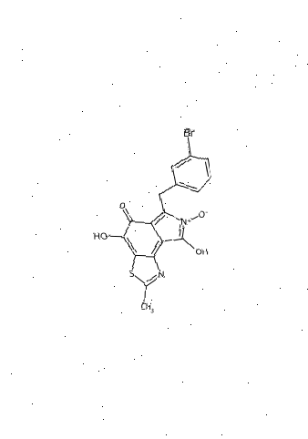 Cc1nc2c(s1)=C(O)C(=O)C1=C(Cc3cccc(Br)c3)[N+]([O-])=C(O)C=21